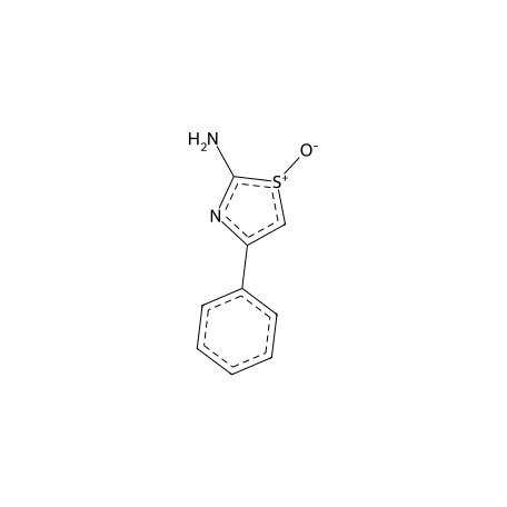 Nc1nc(-c2ccccc2)c[s+]1[O-]